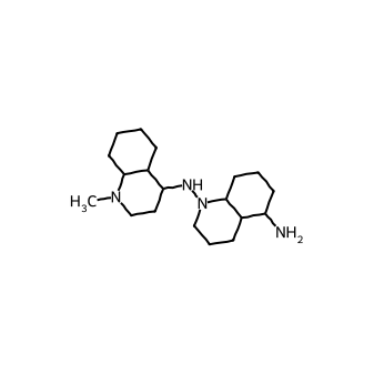 CN1CCC(NN2CCCC3C(N)CCCC32)C2CCCCC21